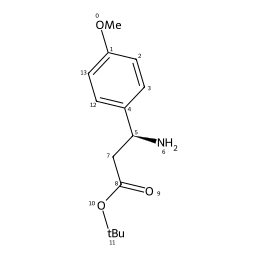 COc1ccc([C@@H](N)CC(=O)OC(C)(C)C)cc1